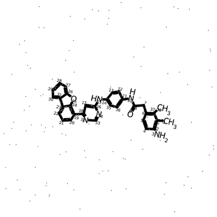 Cc1c(N)ccc(CC(=O)Nc2ccc(Nc3cc(-c4cccc5c4oc4ccccc45)ncn3)cc2)c1C